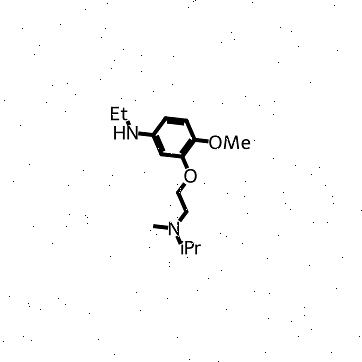 CCNc1ccc(OC)c(OCCN(C)C(C)C)c1